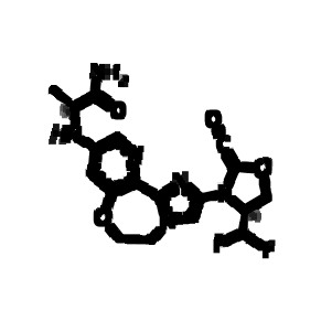 C[C@H](Nc1cnc2c(c1)OCCn1cc(N3C(=C=O)OC[C@H]3C(F)F)nc1-2)C(N)=O